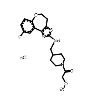 CCOCC(=O)N1CCC(CNc2nc3c(s2)CCOc2ccc(F)cc2-3)CC1.Cl